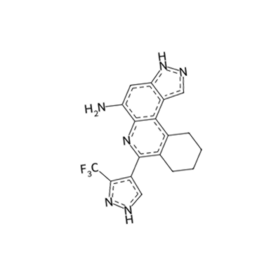 Nc1cc2[nH]ncc2c2c3c(c(-c4c[nH]nc4C(F)(F)F)nc12)CCCC3